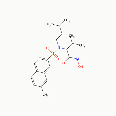 Cc1ccc2ccc(S(=O)(=O)N(CCC(C)C)C(C(=O)NO)C(C)C)cc2c1